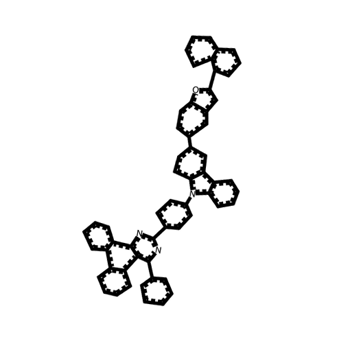 c1ccc(-c2nc(-c3ccc(-n4c5ccccc5c5cc(-c6ccc7oc(-c8cccc9ccccc89)cc7c6)ccc54)cc3)nc3c4ccccc4c4ccccc4c23)cc1